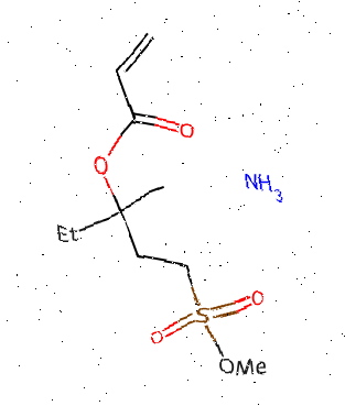 C=CC(=O)OC(C)(CC)CCS(=O)(=O)OC.N